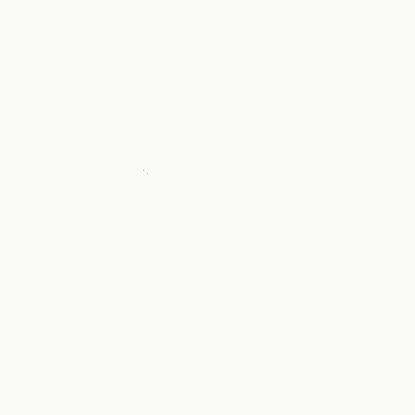 CC(c1ccccc1)(c1ccccc1)c1ccccc1N